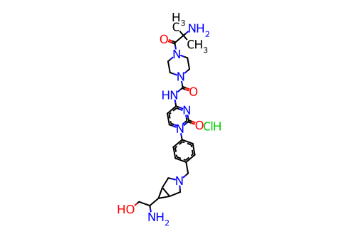 CC(C)(N)C(=O)N1CCN(C(=O)Nc2ccn(-c3ccc(CN4CC5C(C4)C5C(N)CO)cc3)c(=O)n2)CC1.Cl